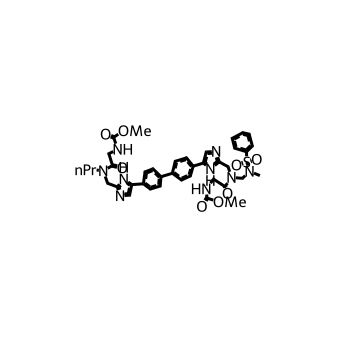 CCCN(Cc1ncc(-c2ccc(-c3ccc(-c4cnc(CN(CN(C)S(=O)(=O)c5ccccc5)C(=O)CNC(=O)OC)[nH]4)cc3)cc2)[nH]1)C(=O)CNC(=O)OC